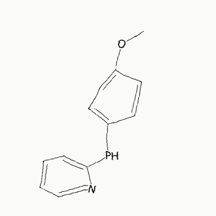 COc1ccc(Pc2ccccn2)cc1